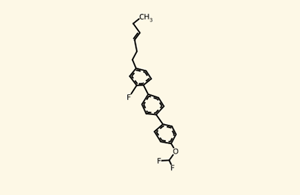 CCC=CCCc1ccc(-c2ccc(-c3ccc(OC(F)F)cc3)cc2)c(F)c1